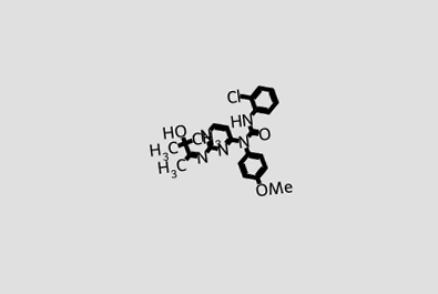 COc1ccc(N(C(=O)Nc2ccccc2Cl)c2ccnc(N=C(C)C(C)(C)O)n2)cc1